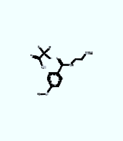 CCOc1ccc(C(=O)NCCNC)cc1.O=C(O)C(F)(F)F